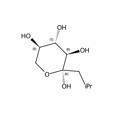 CC(C)C[C@@]1(O)OC[C@@H](O)[C@H](O)[C@H]1O